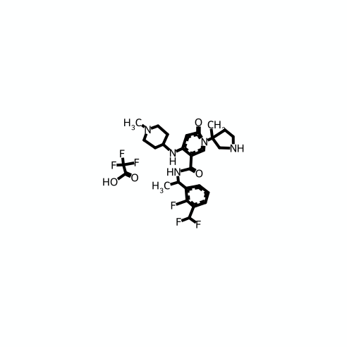 CC(NC(=O)c1cn(C2(C)CCNC2)c(=O)cc1NC1CCN(C)CC1)c1cccc(C(F)F)c1F.O=C(O)C(F)(F)F